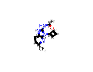 CC(C)C(=O)Nc1nc2ccc(C(F)(F)F)nc2n1C1=CC=C1